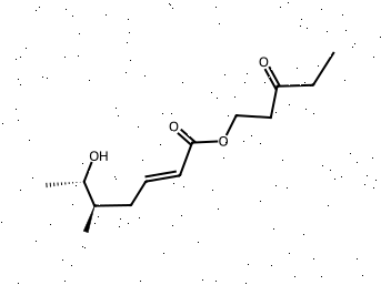 CCC(=O)CCOC(=O)/C=C/C[C@@H](C)[C@H](C)O